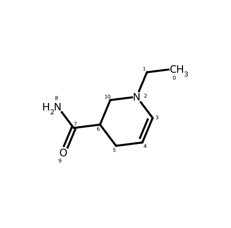 CCN1C=CCC(C(N)=O)C1